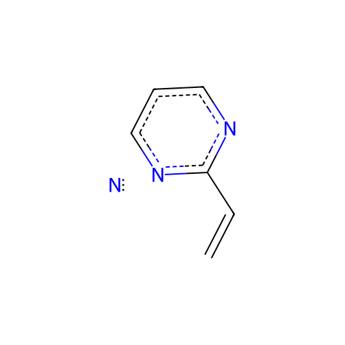 C=Cc1ncccn1.[N]